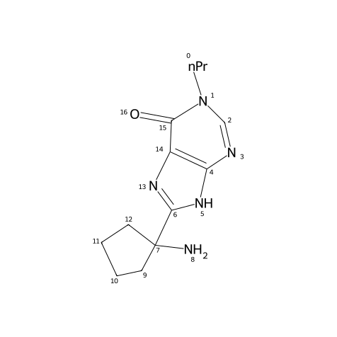 CCCn1cnc2[nH]c(C3(N)CCCC3)nc2c1=O